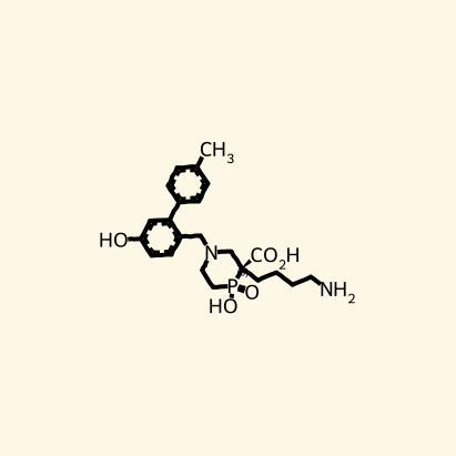 Cc1ccc(-c2cc(O)ccc2CN2CCP(=O)(O)[C@](CCCCN)(C(=O)O)C2)cc1